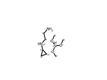 CO[SiH](OC)OC.NCCNC1CC1